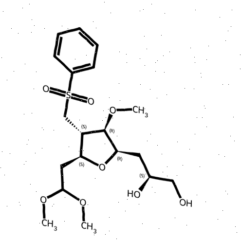 COC(C[C@@H]1O[C@H](C[C@H](O)CO)[C@H](OC)[C@H]1CS(=O)(=O)c1ccccc1)OC